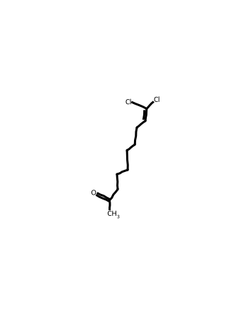 CC(=O)CCCCCCC=C(Cl)Cl